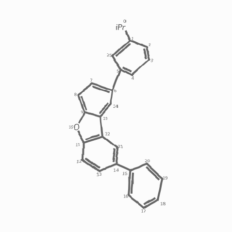 CC(C)c1cccc(-c2ccc3oc4ccc(-c5ccccc5)cc4c3c2)c1